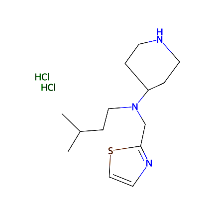 CC(C)CCN(Cc1nccs1)C1CCNCC1.Cl.Cl